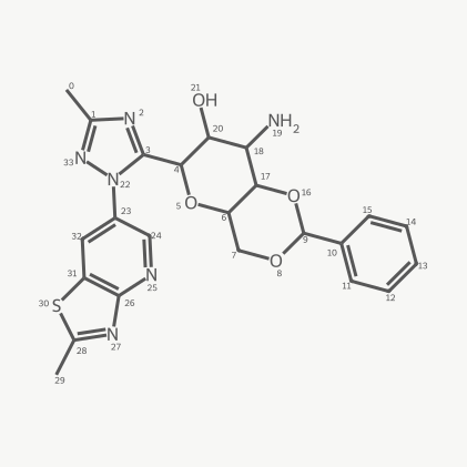 Cc1nc(C2OC3COC(c4ccccc4)OC3C(N)C2O)n(-c2cnc3nc(C)sc3c2)n1